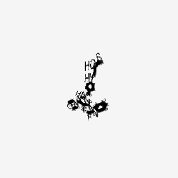 OC(CF)CNC1CCC(CNc2nc(N3CCOCC3)cc(-n3c(C(F)F)nc4ccccc43)n2)CC1